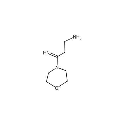 N=C(CCN)N1CCOCC1